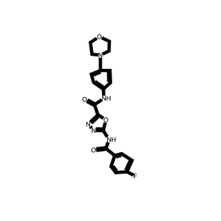 O=C(Nc1nnc(C(=O)Nc2ccc(N3CCOCC3)cc2)o1)c1ccc(F)cc1